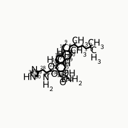 CC(C)CCC[C@@H](C)[C@H]1CC[C@H]2[C@@H]3CC=C4CC(CP(N)(=O)O)(OC(=O)[C@@H](N)Cc5c[nH]cn5)CC[C@]4(C)[C@H]3CC[C@]12C